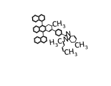 C/C=C\C=C(/C)n1c(-c2ccc(C3=Cc4c(c(-c5cccc6ccccc56)c5ccccc5c4-c4cccc5ccccc45)CC3C)cc2)nc2c1CC(C)C=C2